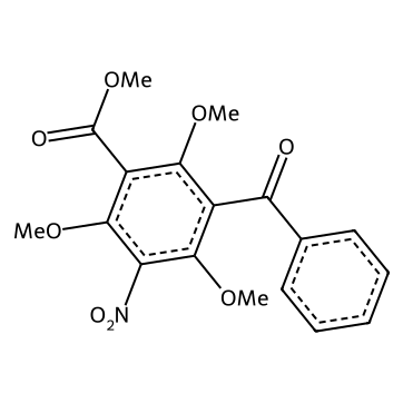 COC(=O)c1c(OC)c(C(=O)c2ccccc2)c(OC)c([N+](=O)[O-])c1OC